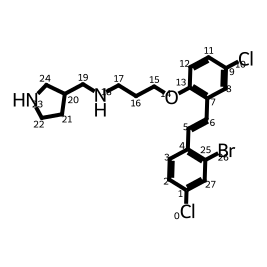 Clc1ccc(/C=C/c2cc(Cl)ccc2OCCCNCC2CCNC2)c(Br)c1